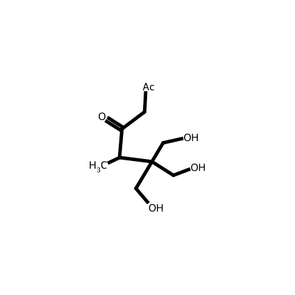 CC(=O)CC(=O)C(C)C(CO)(CO)CO